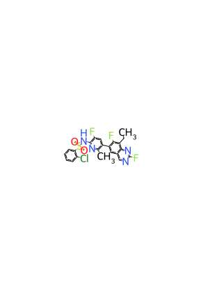 CCc1c(F)c(-c2cc(F)c(NS(=O)(=O)c3ccccc3Cl)nc2C)cc2cnc(F)nc12